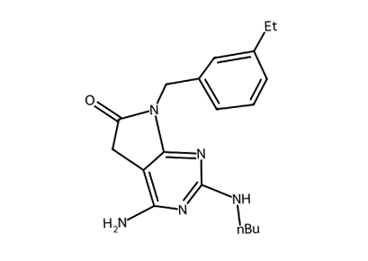 CCCCNc1nc(N)c2c(n1)N(Cc1cccc(CC)c1)C(=O)C2